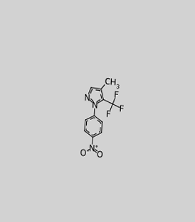 Cc1cnn(-c2ccc([N+](=O)[O-])cc2)c1C(F)(F)F